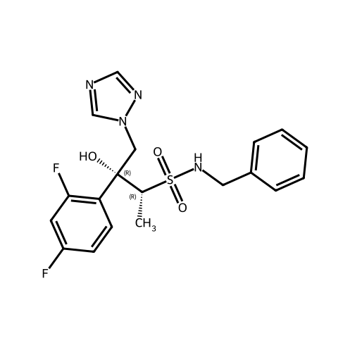 C[C@H]([C@](O)(Cn1cncn1)c1ccc(F)cc1F)S(=O)(=O)NCc1ccccc1